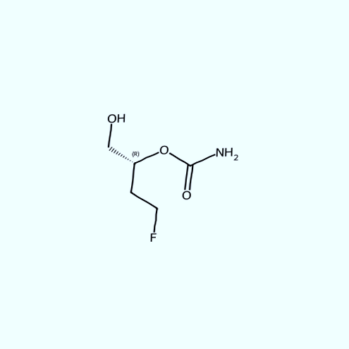 NC(=O)O[C@@H](CO)CCF